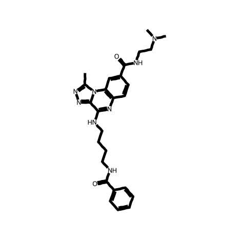 Cc1nnc2c(NCCCCNC(=O)c3ccccc3)nc3ccc(C(=O)NCCN(C)C)cc3n12